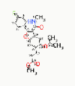 CNC(=O)c1c(-c2ccc(F)cc2)oc2cc(CCC(=O)OC)c(OC(C)C)cc12